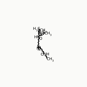 CCCCNC(=O)CCCc1cn(CCCCCC(=O)NC(COCC(C)C)COCC(C)C)nn1